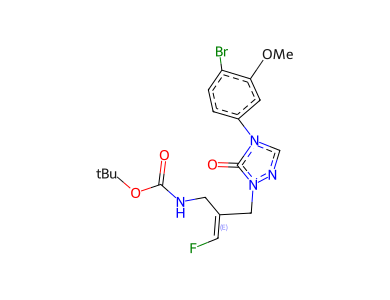 COc1cc(-n2cnn(C/C(=C/F)CNC(=O)OC(C)(C)C)c2=O)ccc1Br